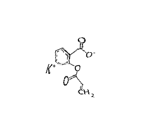 C=CC(=O)Oc1ccccc1C(=O)[O-].[K+]